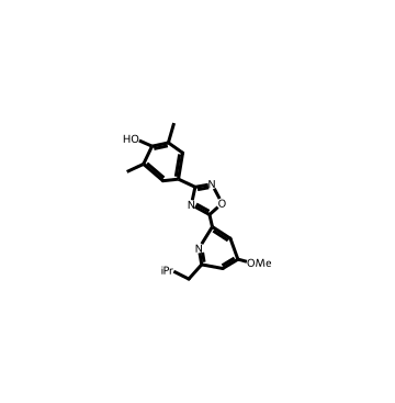 COc1cc(CC(C)C)nc(-c2nc(-c3cc(C)c(O)c(C)c3)no2)c1